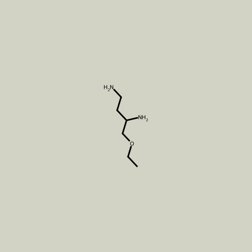 CCOCC(N)CCN